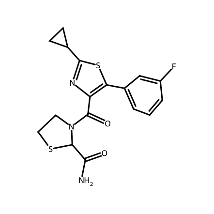 NC(=O)C1SCCN1C(=O)c1nc(C2CC2)sc1-c1cccc(F)c1